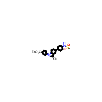 CCOC(=O)c1ccc(-n2cc(C#N)c3cc(-c4ccc(NS(C)(=O)=O)cc4)ccc32)cc1